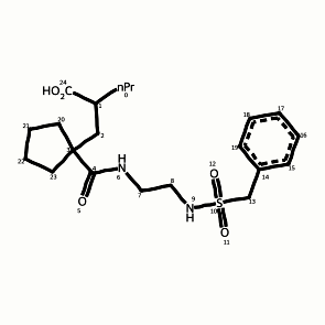 CCCC(CC1(C(=O)NCCNS(=O)(=O)Cc2ccccc2)CCCC1)C(=O)O